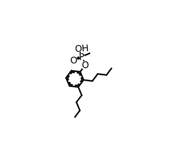 CCCCc1cccc(OP(C)(=O)O)c1CCCC